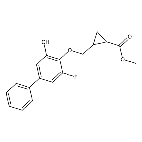 COC(=O)C1CC1COc1c(O)cc(-c2ccccc2)cc1F